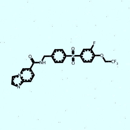 O=C(NCc1ccc(S(=O)(=O)c2ccc(OCC(F)(F)F)c(F)c2)cc1)c1ccc2nccn2c1